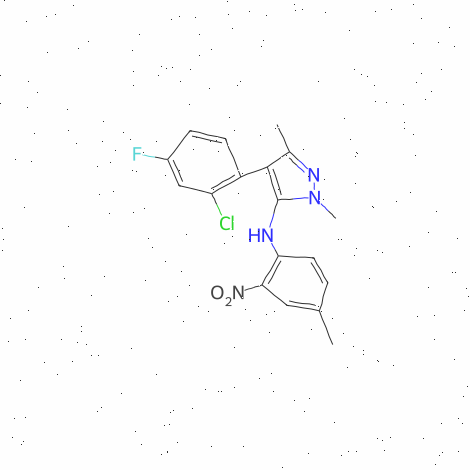 Cc1ccc(Nc2c(-c3ccc(F)cc3Cl)c(C)nn2C)c([N+](=O)[O-])c1